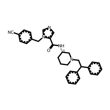 N#Cc1ccc(Cn2cncc2C(=O)N[C@H]2CCCN(CC(c3ccccc3)c3ccccc3)C2)cc1